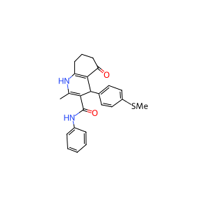 CSc1ccc(C2C(C(=O)Nc3ccccc3)=C(C)NC3=C2C(=O)CCC3)cc1